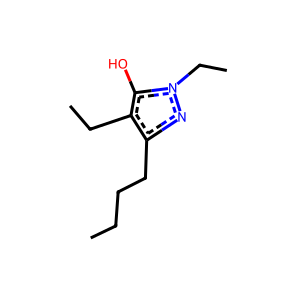 CCCCc1nn(CC)c(O)c1CC